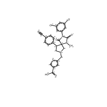 CN1C(=O)N(c2cc(Cl)cc(Cl)c2)C(=O)C12CN(Cc1cc(C(=O)O)cs1)CC2c1ccc(C#N)cc1